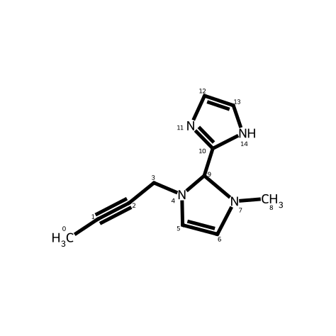 CC#CCN1C=CN(C)C1c1ncc[nH]1